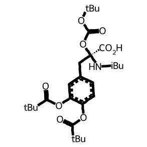 CCC(C)N[C@@](Cc1ccc(OC(=O)C(C)(C)C)c(OC(=O)C(C)(C)C)c1)(OC(=O)OC(C)(C)C)C(=O)O